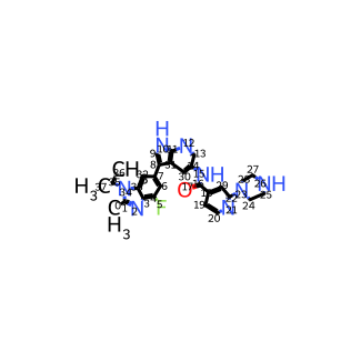 Cc1nc2c(F)cc(-c3c[nH]c4ncc(NC(=O)c5ccnc(N6CCNCC6)c5)cc34)cc2n1C(C)C